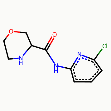 O=C(Nc1cccc(Cl)n1)C1COCCN1